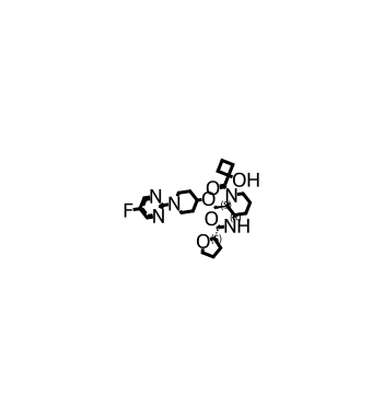 O=C(N[C@@H]1CCCN(C(=O)C2(O)CCC2)[C@@H]1COC1CCN(c2ncc(F)cn2)CC1)[C@@H]1CCCO1